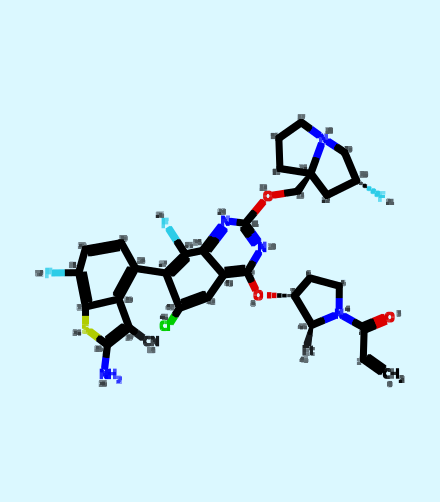 C=CC(=O)N1CC[C@@H](Oc2nc(OC[C@@]34CCCN3C[C@H](F)C4)nc3c(F)c(-c4ccc(F)c5sc(N)c(C#N)c45)c(Cl)cc23)[C@@H]1CC